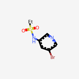 CCS(=O)(=O)Nc1cncc(Br)c1